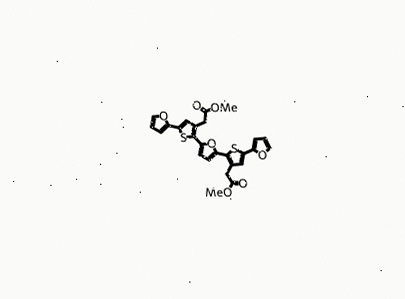 COC(=O)Cc1cc(-c2ccco2)sc1-c1ccc(-c2sc(-c3ccco3)cc2CC(=O)OC)o1